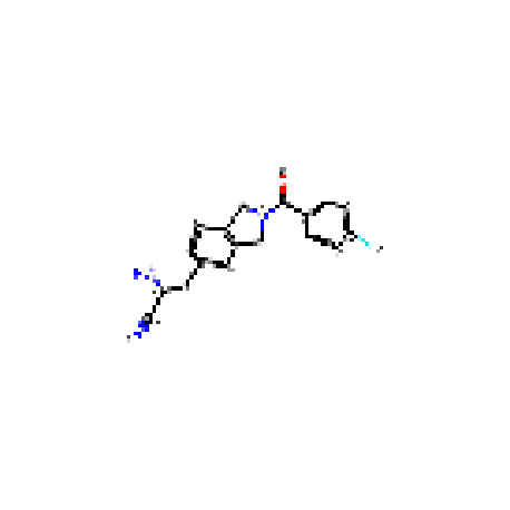 N#C[C@@H](N)Cc1ccc2c(c1)CN(C(=O)c1ccc(F)cc1)C2